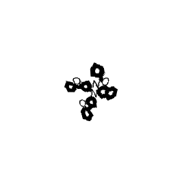 c1ccc(-c2nc3c(N(c4ccc5c(c4)oc4ccccc45)c4ccc5oc6ccccc6c5c4)cc4ccccc4c3o2)cc1